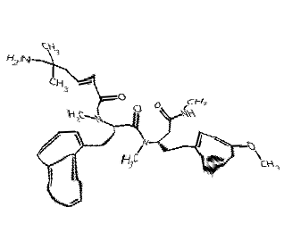 CNC(=O)[C@@H](Cc1ccc(OC)cc1)N(C)C(=O)[C@@H](Cc1cccc2ccccc12)N(C)C(=O)/C=C/CC(C)(C)N